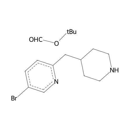 Brc1ccc(CC2CCNCC2)nc1.CC(C)(C)OC=O